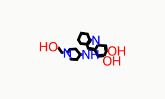 OCCN1CCC(Nc2c3c(nc4cc(O)c(O)cc24)CCCC3)CC1